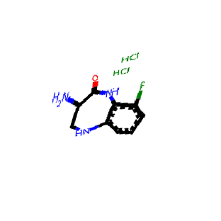 Cl.Cl.NC1CNc2cccc(F)c2NC1=O